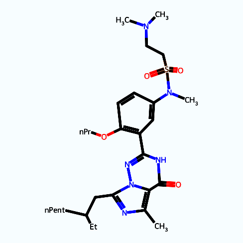 CCCCCC(CC)Cc1nc(C)c2c(=O)[nH]c(-c3cc(N(C)S(=O)(=O)CCN(C)C)ccc3OCCC)nn12